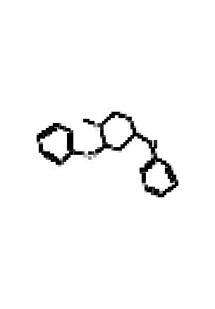 [CH2]N1CCC(Oc2ccccc2)CC1Oc1ccccc1